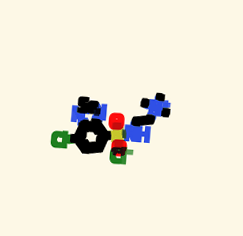 C[N+](C)(C)CCNS(=O)(=O)c1ccc(Cl)c2n[se]nc12.[Cl-]